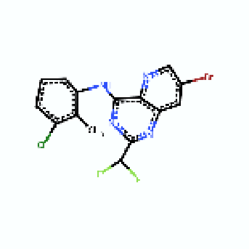 Cc1c(Cl)cccc1Nc1nc(C(F)F)nc2cc(Br)cnc12